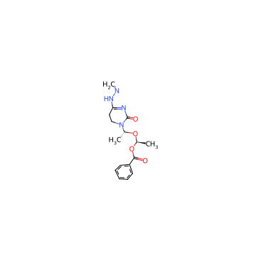 C=NNC1=NC(=O)N([C@@H](C)O[C@@H](C)OC(=O)c2ccccc2)CC1